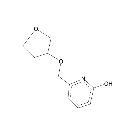 Oc1cccc(COC2CCOC2)n1